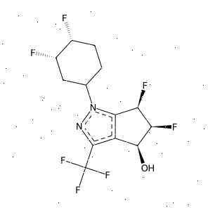 O[C@H]1c2c(C(F)(F)F)nn(C3CC[C@@H](F)[C@@H](F)C3)c2[C@@H](F)[C@H]1F